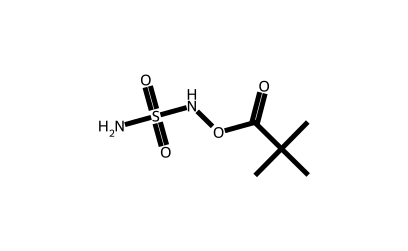 CC(C)(C)C(=O)ONS(N)(=O)=O